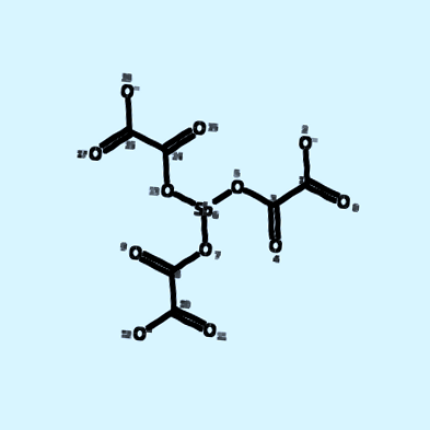 O=C([O-])C(=O)[O][Sb]([O]C(=O)C(=O)[O-])[O]C(=O)C(=O)[O-]